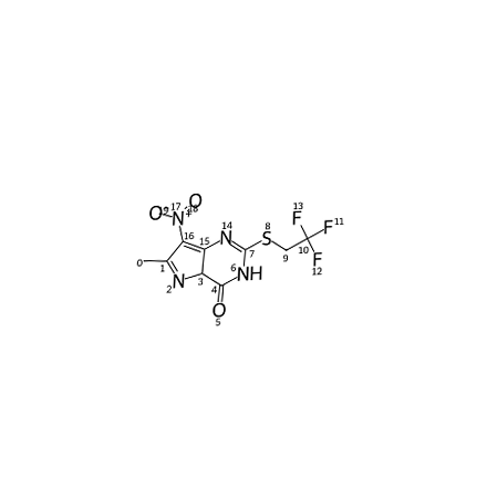 CC1=NC2C(=O)NC(SCC(F)(F)F)=NC2=C1[N+](=O)[O-]